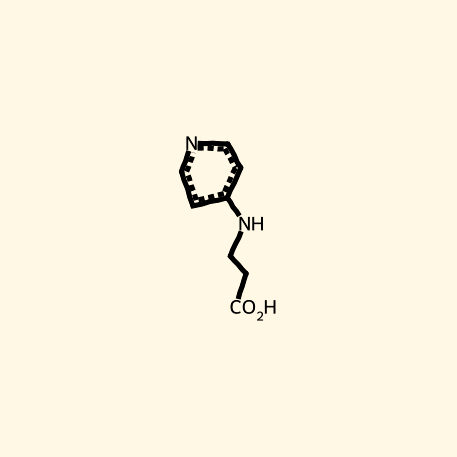 O=C(O)CCNc1ccncc1